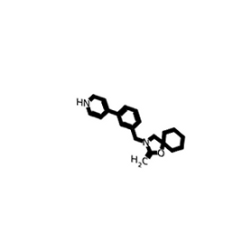 C=C1OC2(CCCCC2)CN1Cc1cccc(C2=CCNC=C2)c1